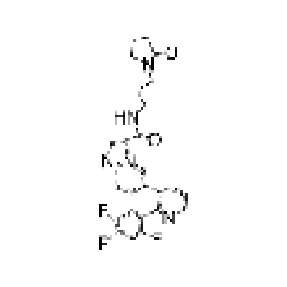 O=C(NCCCN1CCCC1=O)c1cnc2ccc(-c3cccnc3-c3cc(F)c(F)cc3F)cn12